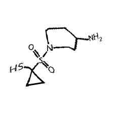 NC1CCN(S(=O)(=O)C2(S)CC2)C1